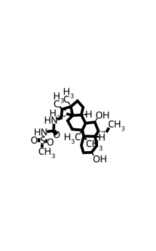 CC[C@H]1[C@@H](O)C2[C@@H]3CC[C@](C)([C@H](C)CNC(=O)NS(C)(=O)=O)C3(C)CC[C@]2(C)[C@@]2(C)CC[C@@H](O)C[C@@H]12